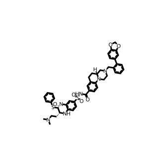 CN(C)CC[C@H](CSc1ccccc1)Nc1ccc(S(=O)(=O)NC(=O)c2ccc3c(c2)CC[C@@H]2CN(Cc4ccccc4-c4ccc5c(c4)OCO5)CCN32)cc1[N+](=O)[O-]